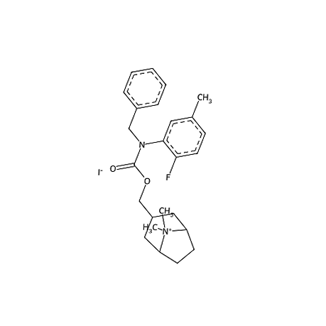 Cc1ccc(F)c(N(Cc2ccccc2)C(=O)OCC2CC3CCC(C2)[N+]3(C)C)c1.[I-]